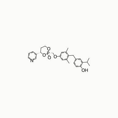 Cc1cc(OC[P@@]2(=O)OCC[C@@H](c3cccnc3)O2)cc(C)c1Cc1ccc(O)c(C(C)C)c1